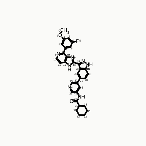 COc1cc(F)cc(-c2nccc3[nH]c(-c4n[nH]c5ccc(-c6cncc(NC(=O)C7CCCCC7)c6)cc45)nc23)c1